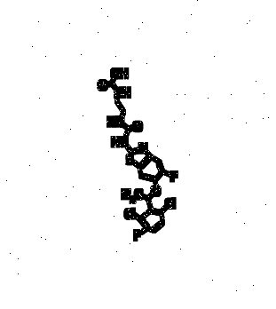 CC(Oc1cc2sc(NC(=O)NCCNC(=O)O)nc2cc1F)c1c(Cl)ccc(F)c1Cl